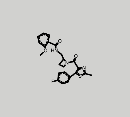 COc1ccccc1C(=O)NCC1CCN1C(=O)c1nc(C)sc1-c1ccc(F)cc1